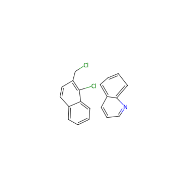 ClCc1ccc2ccccc2c1Cl.c1ccc2ncccc2c1